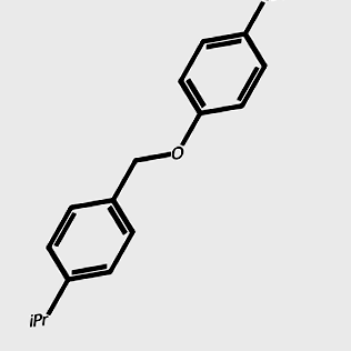 CC(C)c1ccc(COc2ccc(C(C)(C)C)cc2)cc1